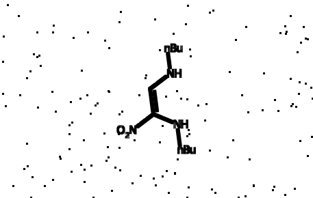 CCCCNC=C(NCCCC)[N+](=O)[O-]